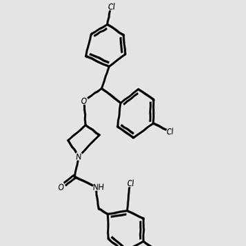 O=C(NCc1ccc(Cl)cc1Cl)N1CC(OC(c2ccc(Cl)cc2)c2ccc(Cl)cc2)C1